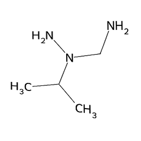 CC(C)N(N)CN